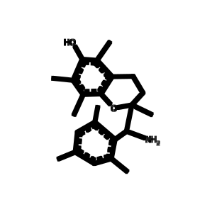 Cc1cc(C)c(C(N)C2(C)CCc3c(C)c(O)c(C)c(C)c3O2)c(C)c1